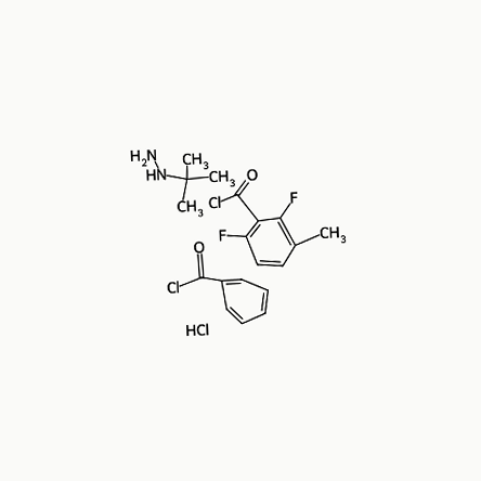 CC(C)(C)NN.Cc1ccc(F)c(C(=O)Cl)c1F.Cl.O=C(Cl)c1ccccc1